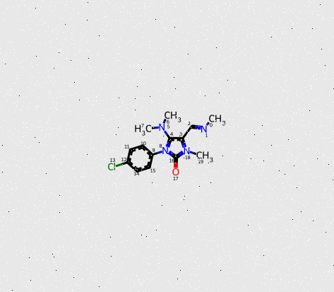 CN=Cc1c(N(C)C)n(-c2ccc(Cl)cc2)c(=O)n1C